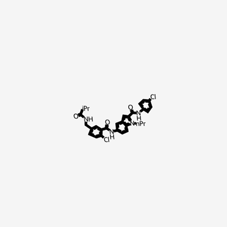 CCCn1c(C(=O)Nc2ccc(Cl)cc2)cc2cc(NC(=O)c3cc(CNC(=O)C(C)C)ccc3Cl)ccc21